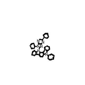 c1ccc(-c2cnc3c(n2)nc(-n2c4ccccc4c4ccc5c(c6ccccc6n5-c5ccccc5)c42)n3-c2ccccc2)cc1